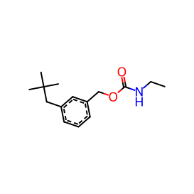 CCNC(=O)OCc1cccc(CC(C)(C)C)c1